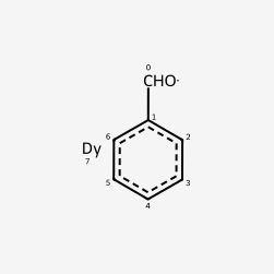 O=[C]c1ccccc1.[Dy]